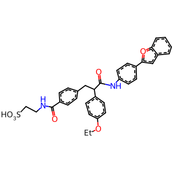 CCOc1ccc(C(Cc2ccc(C(=O)NCCS(=O)(=O)O)cc2)C(=O)Nc2ccc(-c3cc4ccccc4o3)cc2)cc1